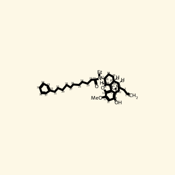 C=CCN1CC[C@]23c4c5c(O)cc(OC)c4O[C@H]2[C@H](N(CC)C(=O)CCCCCCCCCCc2ccccc2)CC[C@H]3[C@H]1C5